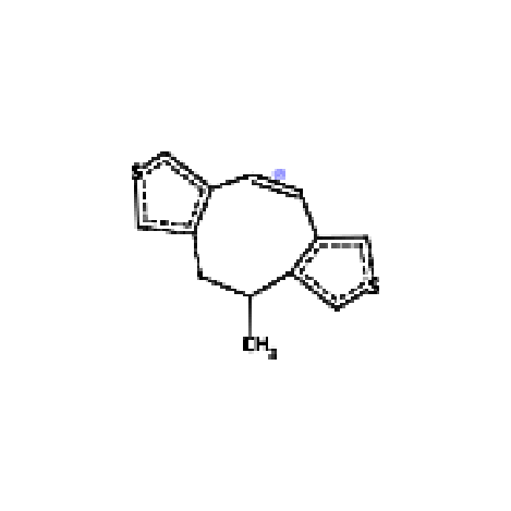 CC1Cc2cscc2/C=C\c2cscc21